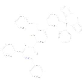 C1=C(c2cccc3c2-c2ccccc2C32c3ccccc3Oc3ccccc32)C2Oc3ccccc3SC2C(C2N=C(c3ccccc3)N=C(c3ccccc3)N2)=C1